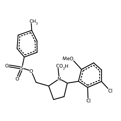 COc1ccc(Cl)c(Cl)c1C1CCC(COS(=O)(=O)c2ccc(C)cc2)N1C(=O)O